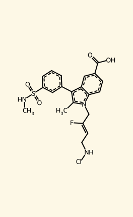 CNS(=O)(=O)c1cccc(-c2c(C)n(C/C(F)=C/CNCl)c3ccc(C(=O)O)cc23)c1